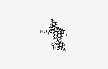 CCCc1c(OCC/C=C\C=C\[C@H](c2c(C(=O)O)oc3c(c2=O)=CCC(=S)C=3)[C@H](O)c2ccccc2C(F)(F)F)ccc(C(C)=O)c1O